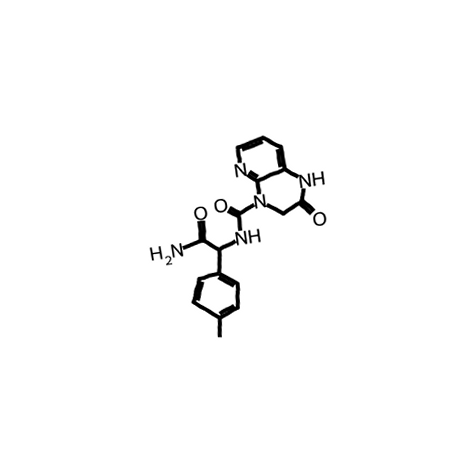 Cc1ccc(C(NC(=O)N2CC(=O)Nc3cccnc32)C(N)=O)cc1